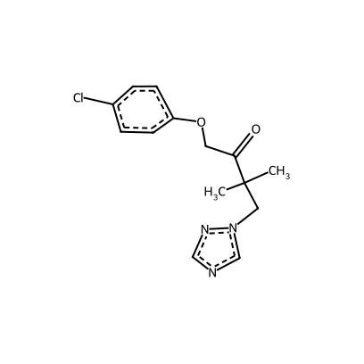 CC(C)(Cn1cncn1)C(=O)COc1ccc(Cl)cc1